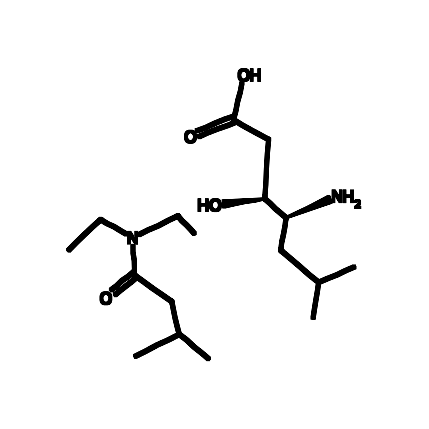 CC(C)C[C@H](N)[C@@H](O)CC(=O)O.CCN(CC)C(=O)CC(C)C